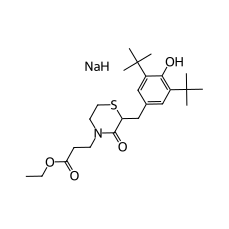 CCOC(=O)CCN1CCSC(Cc2cc(C(C)(C)C)c(O)c(C(C)(C)C)c2)C1=O.[NaH]